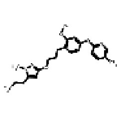 CC(C)Oc1cc(Oc2ccc(C(F)(F)F)cn2)ccc1CCCOc1cc(CCC(=O)O)n(C)n1